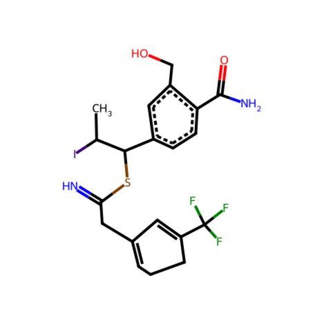 CC(I)C(SC(=N)CC1=CCCC(C(F)(F)F)=C1)c1ccc(C(N)=O)c(CO)c1